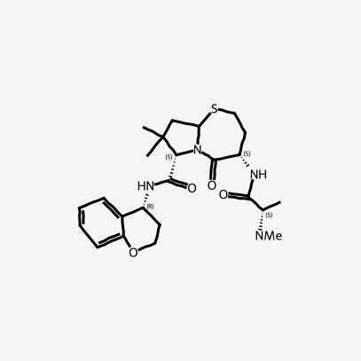 CN[C@@H](C)C(=O)N[C@H]1CCSC2CC(C)(C)[C@@H](C(=O)N[C@@H]3CCOc4ccccc43)N2C1=O